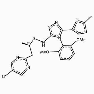 COc1cccc(OC)c1-n1c(NS[C@H](C)Cc2ncc(Cl)cn2)nnc1-c1ccc(C)o1